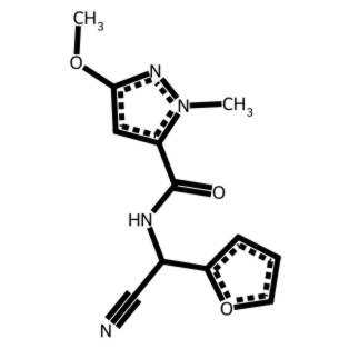 COc1cc(C(=O)NC(C#N)c2ccco2)n(C)n1